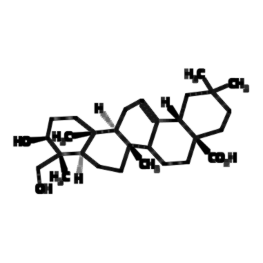 CC1(C)CC[C@]2(C(=O)O)CCC3C(=CC[C@@H]4[C@@]5(C)CC[C@H](O)[C@@](C)(CO)[C@@H]5CC[C@@]34C)[C@@H]2C1